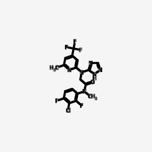 Cc1cc(C(F)(F)F)cc(N(CC(=O)N(C)c2ccc(F)c(Cl)c2F)c2ncn[nH]2)n1